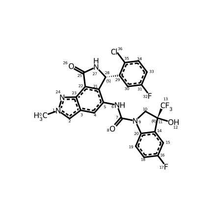 Cn1cc2cc(NC(=O)N3C[C@@](O)(C(F)(F)F)c4cc(F)ccc43)c3c(c2n1)C(=O)N[C@@H]3c1cc(F)ccc1Cl